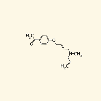 C=CCN(C)C/C=C/COc1ccc(C(C)=O)cc1